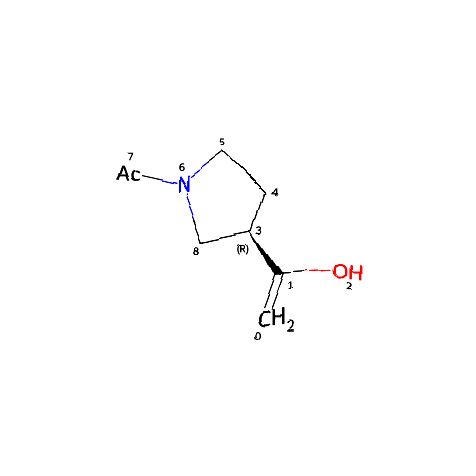 C=C(O)[C@@H]1CCN(C(C)=O)C1